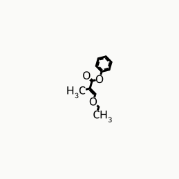 CCOC=C(C)C(=O)Oc1ccccc1